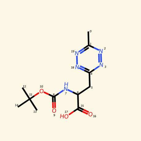 Cc1nnc(CC(NC(=O)OC(C)(C)C)C(=O)O)nn1